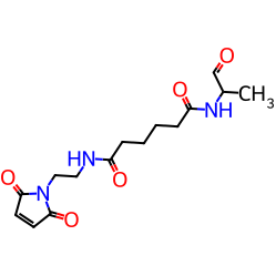 CC(C=O)NC(=O)CCCCC(=O)NCCN1C(=O)C=CC1=O